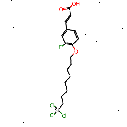 O=C(O)/C=C/c1ccc(OCCCCCCCC[Si](Cl)(Cl)Cl)c(F)c1